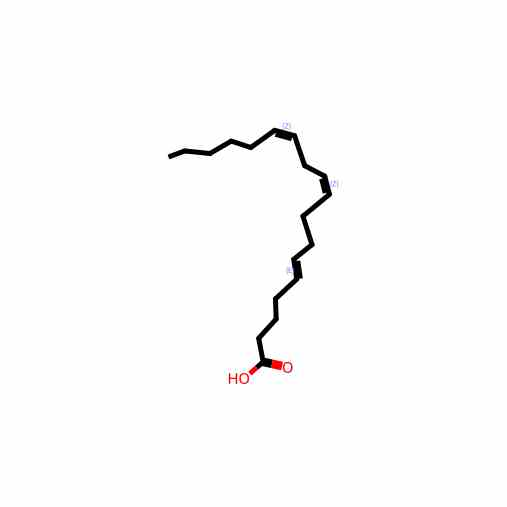 CCCCC/C=C\C/C=C\CC/C=C/CCCC(=O)O